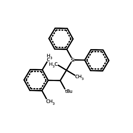 Cc1cccc(C)c1C(C(C)(C)C)C(C)(C)[Si](c1ccccc1)c1ccccc1